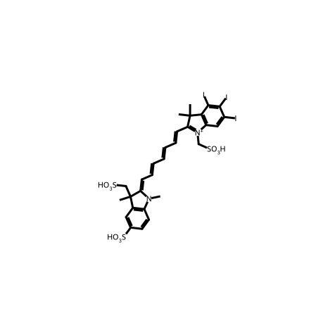 CN1\C(=C/C=C/C=C/C=C/C2=[N+](CS(=O)(=O)O)c3cc(I)c(I)c(I)c3C2(C)C)C(C)(CS(=O)(=O)O)c2cc(S(=O)(=O)O)ccc21